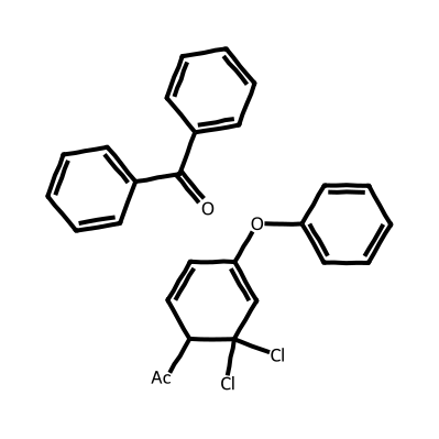 CC(=O)C1C=CC(Oc2ccccc2)=CC1(Cl)Cl.O=C(c1ccccc1)c1ccccc1